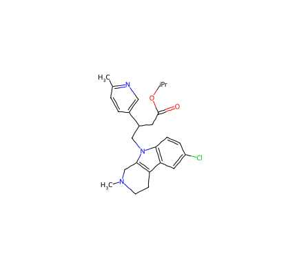 Cc1ccc(C(CC(=O)OC(C)C)Cn2c3c(c4cc(Cl)ccc42)CCN(C)C3)cn1